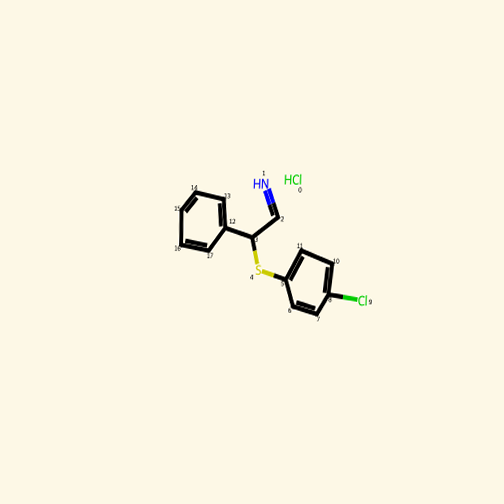 Cl.N=CC(Sc1ccc(Cl)cc1)c1ccccc1